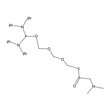 CC(C)N(C(C)C)P(OCOCOCSC(=O)CN(C)C)N(C(C)C)C(C)C